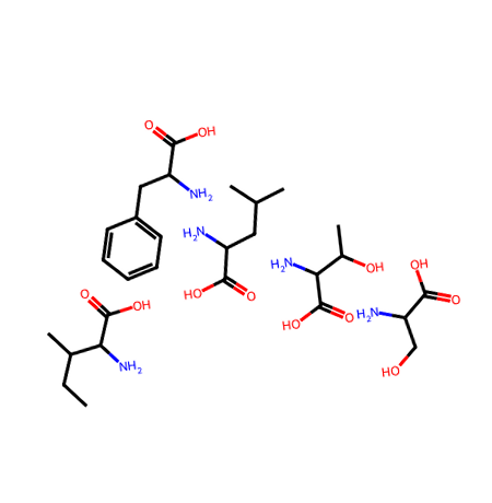 CC(C)CC(N)C(=O)O.CC(O)C(N)C(=O)O.CCC(C)C(N)C(=O)O.NC(CO)C(=O)O.NC(Cc1ccccc1)C(=O)O